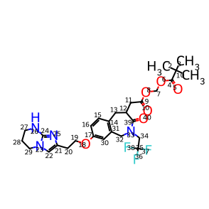 CC(C)(C)C(=O)OCOC(=O)CC1Cc2ccc(OCCc3cn4c(n3)NCCC4)cc2CN(CC(F)(F)F)C1=O